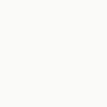 CCCCCCCCCCCCCCC1(C)CO1